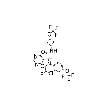 C[C@@](C(=O)NC1CC(OC(F)(F)F)C1)(c1cncnc1)N(C(=O)[C@H](F)Cl)c1ccc(OC(F)(F)F)cc1